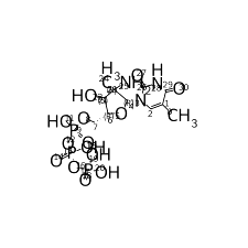 Cc1cn([C@@H]2O[C@H](COP(=O)(O)OP(=O)(O)OP(=O)(O)O)[C@@H](O)[C@@]2(C)N)c(=O)[nH]c1=O